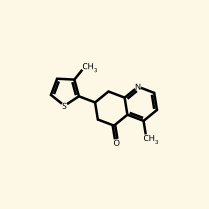 Cc1ccsc1C1CC(=O)c2c(C)ccnc2C1